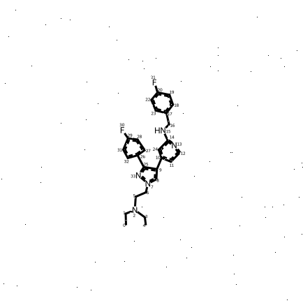 CCN(CC)CCn1cc(-c2ccnc(NCc3ccc(F)cc3)c2)c(-c2ccc(F)cc2)n1